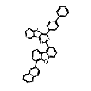 c1ccc(-c2ccc(-c3nc(-c4cccc5oc6c(-c7ccc8ccccc8c7)cccc6c45)nc4c3sc3ccccc34)cc2)cc1